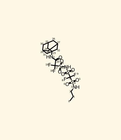 CCCNS(=O)(=O)C(F)(F)S(=O)(=O)NS(=O)(=O)C(F)(F)C(=O)NC12CC3CC(CC(C3)C1)C2